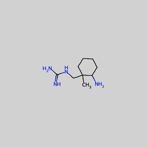 CC1(CNC(=N)N)CCCCC1N